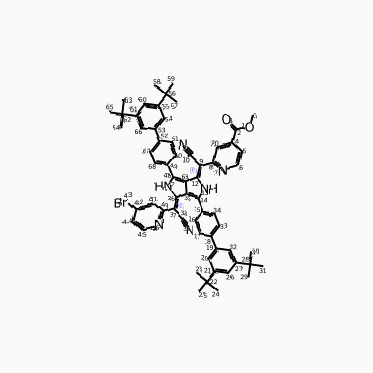 COC(=O)c1ccnc(/C(C#N)=c2\[nH]c(-c3ccc(-c4cc(C(C)(C)C)cc(C(C)(C)C)c4)cc3)c3/c(=C(\C#N)c4cc(Br)ccn4)[nH]c(-c4ccc(-c5cc(C(C)(C)C)cc(C(C)(C)C)c5)cc4)c23)c1